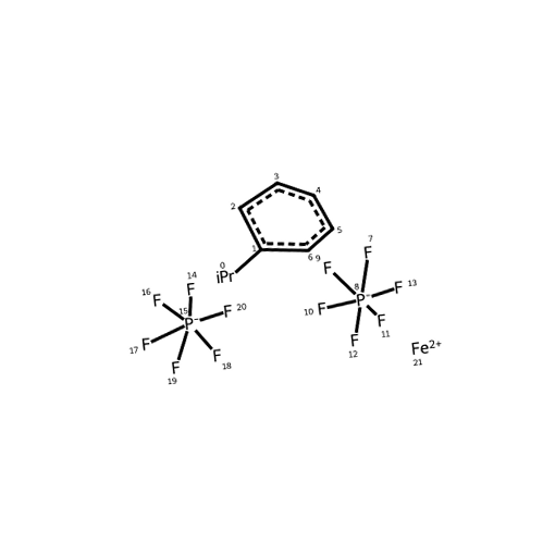 CC(C)c1ccccc1.F[P-](F)(F)(F)(F)F.F[P-](F)(F)(F)(F)F.[Fe+2]